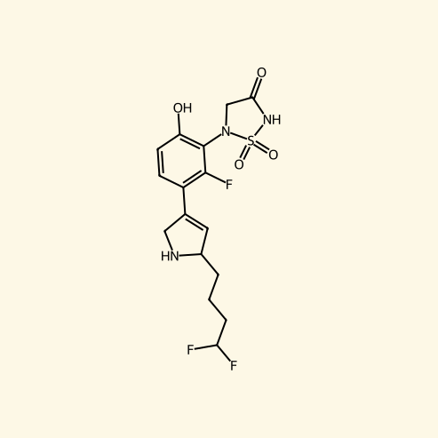 O=C1CN(c2c(O)ccc(C3=CC(CCCC(F)F)NC3)c2F)S(=O)(=O)N1